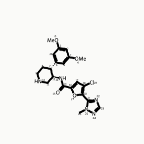 COc1cc(OC)cc([C@H]2CCNC[C@@H]2NC(=O)c2cc(Cl)c(-c3ncnn3C)o2)c1